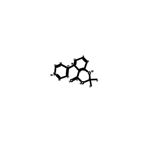 CC1(C)OC(=O)c2c(cccc2-c2ccncc2)O1